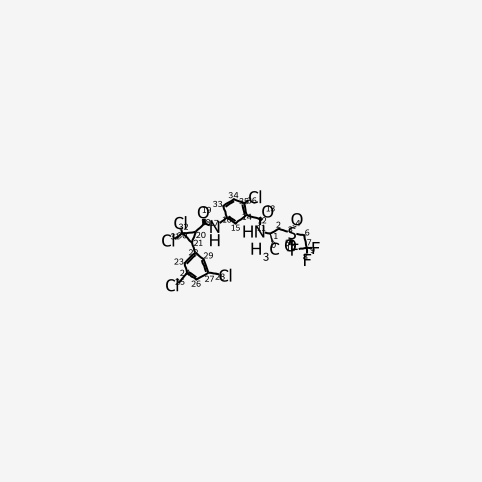 C[C@H](CS(=O)(=O)CC(F)(F)F)NC(=O)c1cc(NC(=O)C2C(c3cc(Cl)cc(Cl)c3)C2(Cl)Cl)ccc1Cl